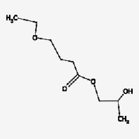 CCOCCCC(=O)OCC(C)O